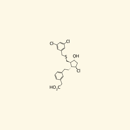 O=C(O)Cc1cccc(CC[C@@H]2[C@@H](CSCc3cc(Cl)cc(Cl)c3)[C@H](O)C[C@H]2Cl)c1